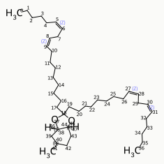 CCCCC/C=C\C/C=C\CCCCCCCCC1(CCCCCCCC/C=C\C/C=C\CCCCC)O[C@H]2C[C@H](C)CC[C@H]2O1